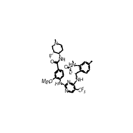 COc1cc(C(=O)N[C@@H]2CCN(C)C[C@H]2F)ccc1Nc1ncc(C(F)(F)F)c(NCc2ccc(C)cc2N(C)[SH](=O)=O)n1